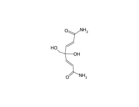 NC(=O)C=CC(O)(C=CC(N)=O)CO